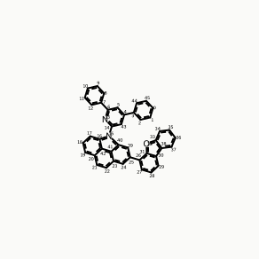 c1ccc(-c2cc(-c3ccccc3)nc(-n3c4cccc5ccc6cc(-c7cccc8c7oc7ccccc78)cc3c6c54)c2)cc1